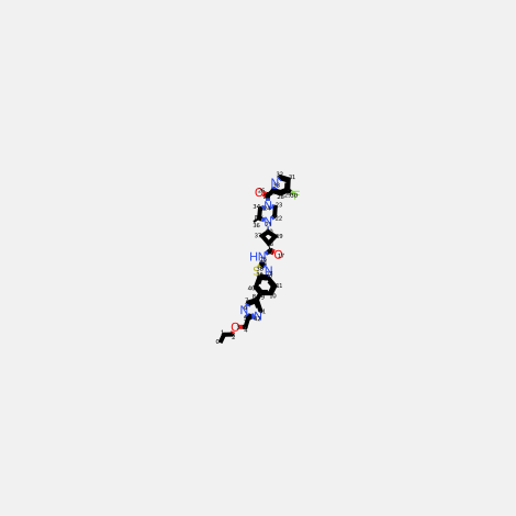 CCCOCc1ncc(-c2ccc3nc(NC(=O)[C@H]4C[C@@H](N5CCN(C(=O)c6cc(F)ccn6)C[C@@H]5C)C4)sc3c2)cn1